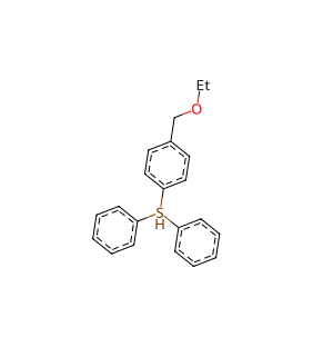 CCOCc1ccc([SH](c2ccccc2)c2ccccc2)cc1